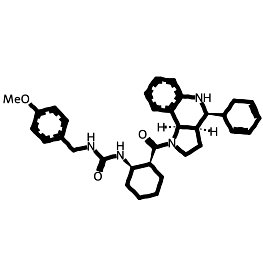 COc1ccc(CNC(=O)N[C@@H]2CCCC[C@@H]2C(=O)N2CC[C@@H]3[C@H](C4C=CC=CC4)Nc4ccccc4[C@@H]32)cc1